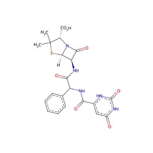 CC1(C)S[C@@H]2[C@H](NC(=O)C(NC(=O)c3cc(=O)[nH]c(=O)[nH]3)c3ccccc3)C(=O)N2[C@H]1C(=O)O